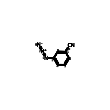 N#Cc1cccc(N=[N+]=[N-])c1